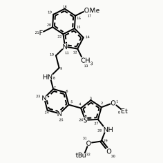 CCOc1cc(-c2cc(NCCn3c(C)cc4c(OC)ccc(F)c43)ncn2)sc1NC(=O)OC(C)(C)C